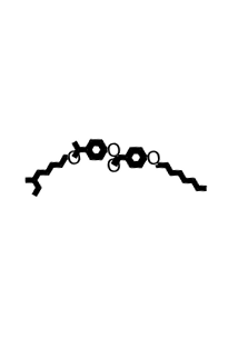 CCCCCCCCOc1ccc(C(=O)Oc2ccc(C(C)OCCCCCC(C)CC)cc2)cc1